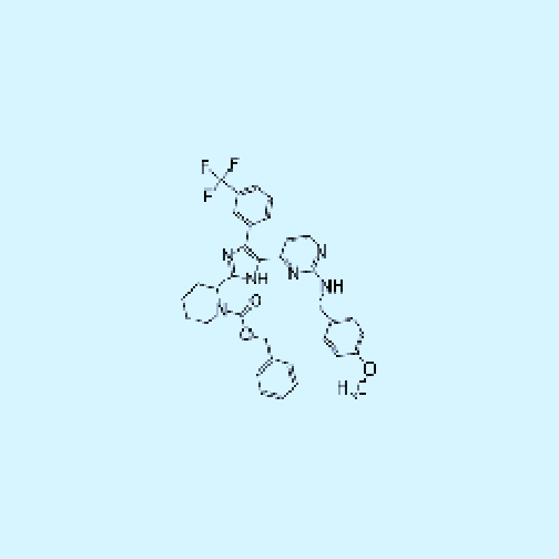 COc1ccc(CNc2nccc(-c3[nH]c(C4CCCCN4C(=O)OCc4ccccc4)nc3-c3cccc(C(F)(F)F)c3)n2)cc1